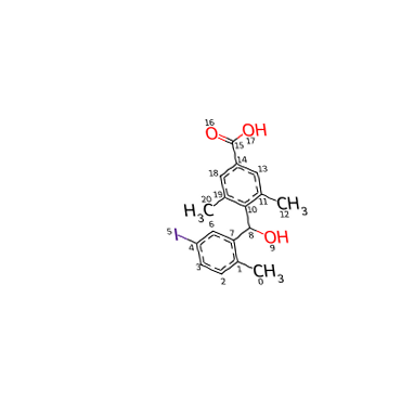 Cc1ccc(I)cc1C(O)c1c(C)cc(C(=O)O)cc1C